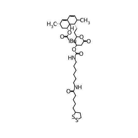 CCC(C)C(=O)O[C@@H]1C[C@H](C)C=C2C=CC(C)[C@H](CCC3CC(OC(=O)NCCCCCCNC(=O)CCCCC4CCSS4)CC(=O)O3)[C@@H]21